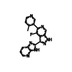 Cc1ccncc1-c1ncc2[nH]nc(-c3nc4cccnc4[nH]3)c2c1F